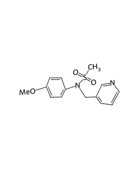 COc1ccc(N(Cc2cccnc2)S(C)(=O)=O)cc1